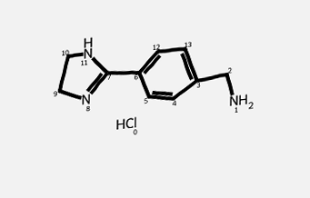 Cl.NCc1ccc(C2=NCCN2)cc1